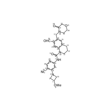 COC1CN(c2cc(NC(=O)N3CCCc4cc(CN5CCOCC5=O)c(C=O)nc43)ncc2C#N)C1